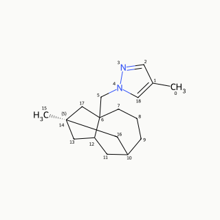 Cc1cnn(CC23CCCC4CC2C[C@](C)(C4)C3)c1